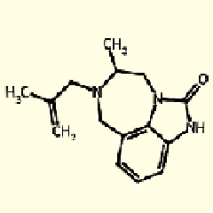 C=C(C)CN1Cc2cccc3[nH]c(=O)n(c23)CC1C